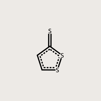 S=c1ccss1